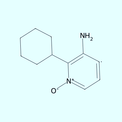 Nc1[c]cc[n+]([O-])c1C1CCCCC1